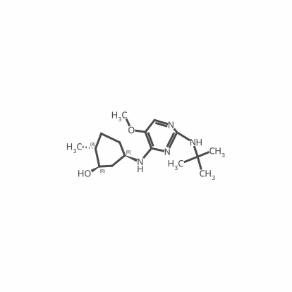 COc1cnc(NC(C)(C)C)nc1N[C@@H]1CC[C@@H](C)[C@H](O)C1